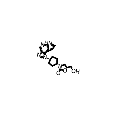 O=C1OC(CO)CN1[C@H]1CC[C@H](n2cnc3cnc4[nH]ccc4c32)CC1